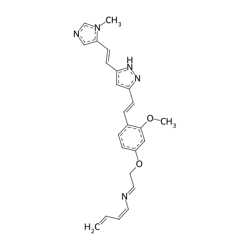 C=C/C=C\N=C\COc1ccc(/C=C/c2cc(/C=C/c3cncn3C)[nH]n2)c(OC)c1